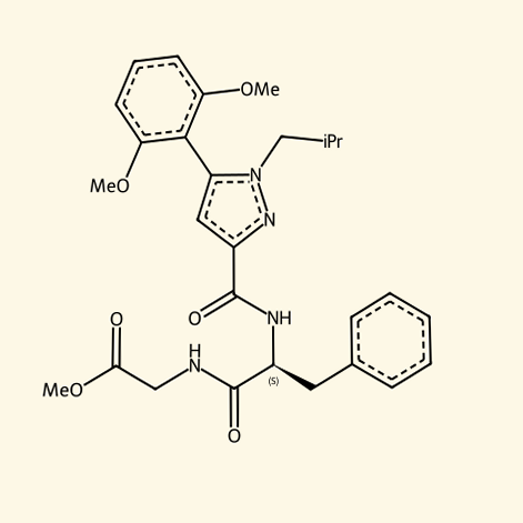 COC(=O)CNC(=O)[C@H](Cc1ccccc1)NC(=O)c1cc(-c2c(OC)cccc2OC)n(CC(C)C)n1